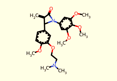 C=C1C(=O)N(c2cc(OC)c(OC)c(OC)c2)C1c1ccc(OC)c(OCCN(C)C)c1